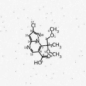 COCC(C)(OC)c1c(C(=O)O)cnc2cc(Cl)nn12